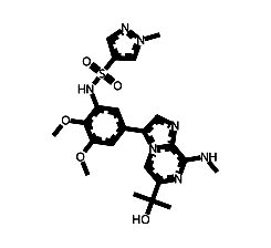 CNc1nc(C(C)(C)O)cn2c(-c3cc(NS(=O)(=O)c4cnn(C)c4)c(OC)c(OC)c3)cnc12